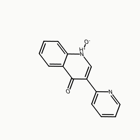 O=C1C(c2ccccn2)=C[NH+]([O-])c2ccccc21